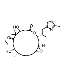 CC[C@@H]1C(=O)C(C)(C)[C@@H](O)CC(=O)O[C@H](C(C)=Cc2csc(C)n2)C[C@H]2O[C@@]2(C)CCC[C@H](C)[C@H]1O